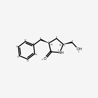 O=C1N[C@H](CO)C[C@@H]1Cc1ccccc1